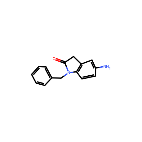 Nc1ccc2c(c1)CC(=O)N2Cc1ccccc1